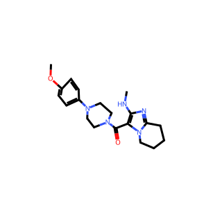 CNc1nc2n(c1C(=O)N1CCN(c3ccc(OC)cc3)CC1)CCCC2